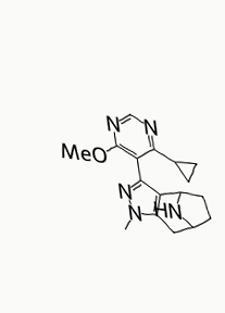 COc1ncnc(C2CC2)c1-c1nn(C)c2c1C1CCC(C2)N1